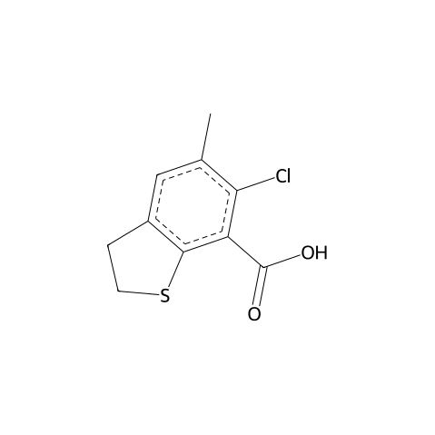 Cc1cc2c(c(C(=O)O)c1Cl)SCC2